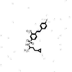 CC(CCC1CC1)NS(=O)(=O)c1ccc(/C=C/c2ccc(F)cc2)c([N+](=O)[O-])c1